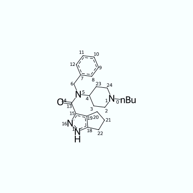 CCCCN1CCC(N(Cc2ccccc2)C(=O)c2n[nH]c3c2CCC3)CC1